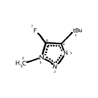 Cn1nnc(C(C)(C)C)c1F